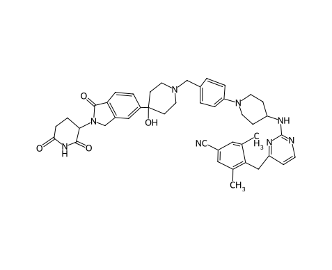 Cc1cc(C#N)cc(C)c1Cc1ccnc(NC2CCN(c3ccc(CN4CCC(O)(c5ccc6c(c5)CN(C5CCC(=O)NC5=O)C6=O)CC4)cc3)CC2)n1